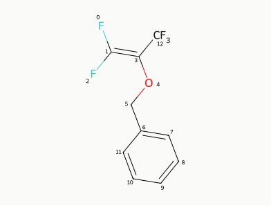 FC(F)=C(OCc1ccccc1)C(F)(F)F